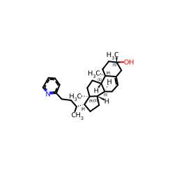 CC(CCc1ccccn1)[C@H]1CC[C@H]2[C@@H]3CC=C4C[C@@](C)(O)CC[C@]4(C)[C@H]3CC[C@]12C